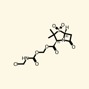 CC1(C)[C@H](C(=O)OCOC(=O)NCCl)N2C(=O)C[C@H]2S1(=O)=O